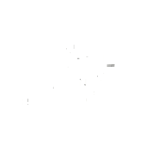 CCC(=O)CCC(=O)N1C(=O)O[C@](C#CC2CC2)(C(F)(F)F)c2cc(Cl)ccc21